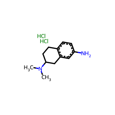 CN(C)C1CCc2ccc(N)cc2C1.Cl.Cl